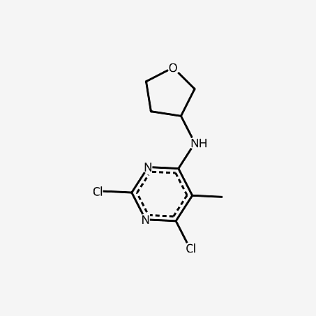 Cc1c(Cl)nc(Cl)nc1NC1CCOC1